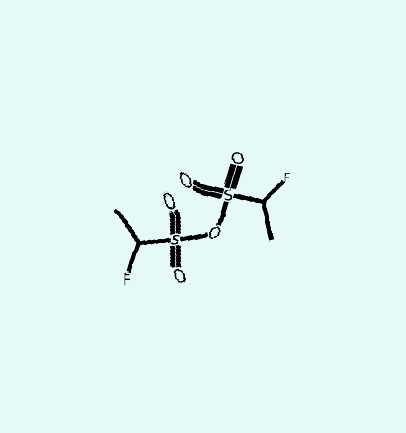 CC(F)S(=O)(=O)OS(=O)(=O)C(C)F